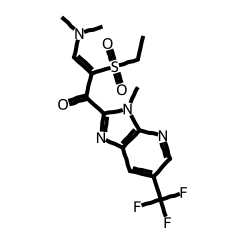 CCS(=O)(=O)C(=CN(C)C)C(=O)c1nc2cc(C(F)(F)F)cnc2n1C